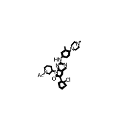 CC(=O)N1CCCC(n2c(=O)c(-c3ccccc3Cl)cc3cnc(Nc4ccc(N5CCN(C)CC5)c(C)c4)nc32)C1